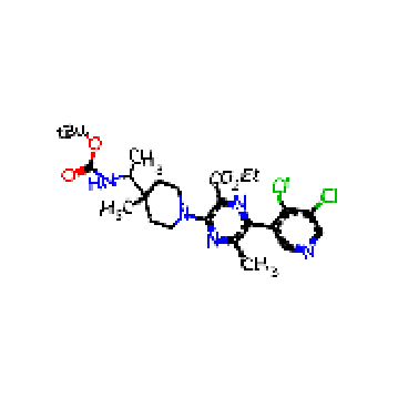 CCOC(=O)c1nc(-c2cncc(Cl)c2Cl)c(C)nc1N1CCC(C)(C(C)NC(=O)OC(C)(C)C)CC1